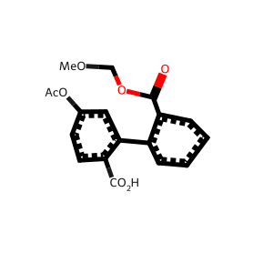 COCOC(=O)c1ccccc1-c1cc(OC(C)=O)ccc1C(=O)O